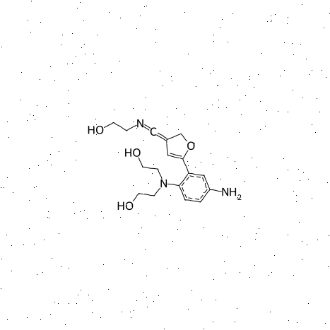 Nc1ccc(N(CCO)CCO)c(C2=CC(=C=NCCO)CO2)c1